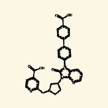 O=C(O)c1ccc(-c2ccc(-n3c(=O)n(C4CCN(Cc5cc(C(=O)O)ccn5)C4)c4ncccc43)cc2)cc1